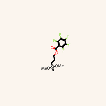 CO[Si](C)(CCCOC(=O)c1c(F)c(F)c(F)c(F)c1F)OC